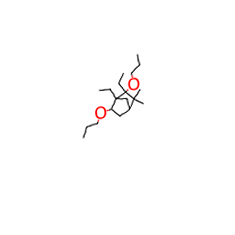 CCCOC1CC2CC1(CC)C(CC)(OCCC)C2(C)C